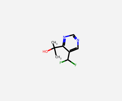 CC(C)(O)c1n[c]ncc1C(F)F